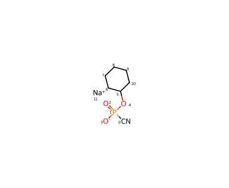 N#CP(=O)([O-])OC1CCCCC1.[Na+]